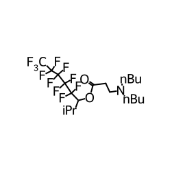 CCCCN(CCCC)CCC(=O)OC(C(C)C)C(F)(F)C(F)(F)C(F)(F)C(F)(F)C(F)(F)F